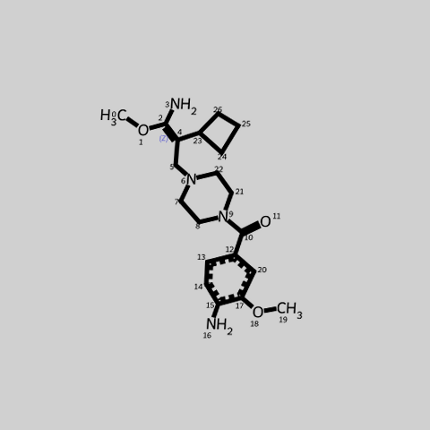 CO/C(N)=C(\CN1CCN(C(=O)c2ccc(N)c(OC)c2)CC1)C1CCC1